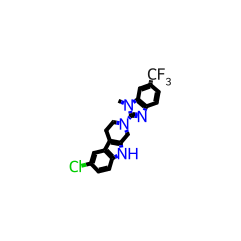 Cn1c(N2CCc3c([nH]c4ccc(Cl)cc34)C2)nc2ccc(C(F)(F)F)cc21